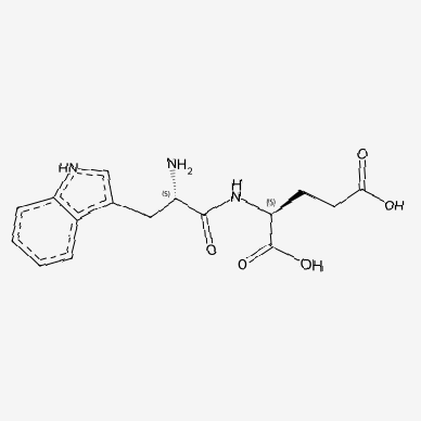 N[C@@H](Cc1c[nH]c2ccccc12)C(=O)N[C@@H](CCC(=O)O)C(=O)O